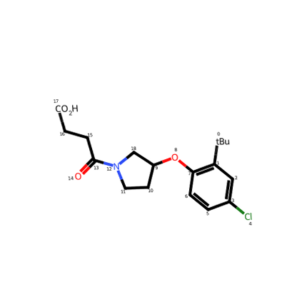 CC(C)(C)c1cc(Cl)ccc1OC1CCN(C(=O)CCC(=O)O)C1